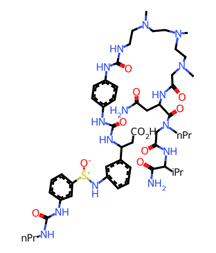 CCCNC(=O)Nc1cccc([S+]([O-])Nc2cccc(C(CC(=O)O)NC(=O)Nc3ccc(NC(=O)NCCN(C)CCN(C)CCN(C)CC(=O)NC(CC(N)=O)C(=O)N(CCC)CC(=O)NC(C(N)=O)C(C)C)cc3)c2)c1